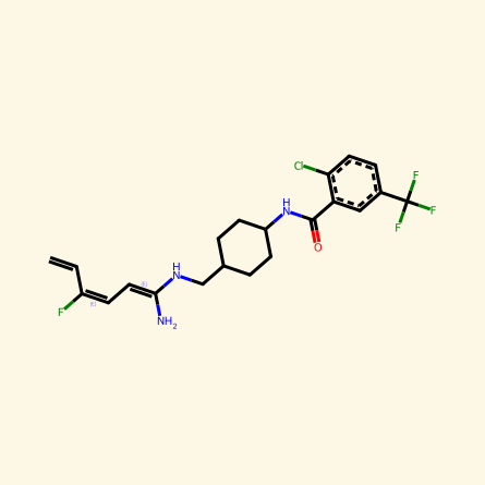 C=C/C(F)=C\C=C(/N)NCC1CCC(NC(=O)c2cc(C(F)(F)F)ccc2Cl)CC1